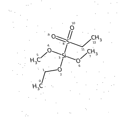 CCO[Si](OC)(OC)S(=O)(=O)CC